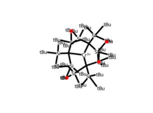 CC(C)(C)[Si](C(C)(C)C)(C(C)(C)C)[C]([Cr+3]([C]([Si](C(C)(C)C)(C(C)(C)C)C(C)(C)C)([Si](C(C)(C)C)(C(C)(C)C)C(C)(C)C)[Si](C(C)(C)C)(C(C)(C)C)C(C)(C)C)[C]([Si](C(C)(C)C)(C(C)(C)C)C(C)(C)C)([Si](C(C)(C)C)(C(C)(C)C)C(C)(C)C)[Si](C(C)(C)C)(C(C)(C)C)C(C)(C)C)([Si](C(C)(C)C)(C(C)(C)C)C(C)(C)C)[Si](C(C)(C)C)(C(C)(C)C)C(C)(C)C